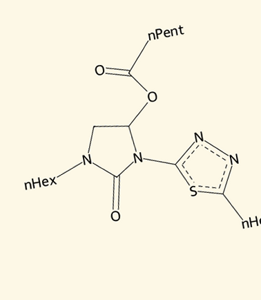 CCCCCCc1nnc(N2C(=O)N(CCCCCC)CC2OC(=O)CCCCC)s1